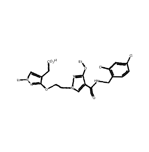 CCOc1nn(CCOc2nn(CC)cc2CC(=O)O)cc1C(=O)NCc1ccc(Cl)cc1Cl